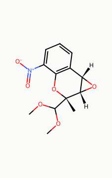 COC(OC)[C@]1(C)Oc2c(cccc2[N+](=O)[O-])[C@@H]2O[C@@H]21